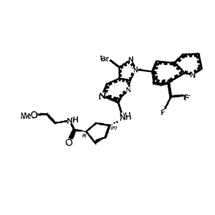 COCCNC(=O)[C@@H]1CC[C@@H](Nc2ncc3c(Br)nn(-c4cc(C(F)F)c5ncccc5c4)c3n2)C1